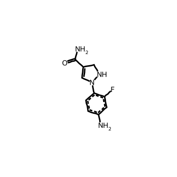 NC(=O)C1=CN(c2ccc(N)cc2F)NC1